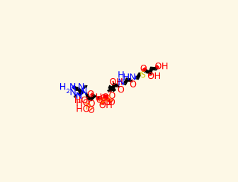 CC(C)(COP(=O)(O)OP(=O)(O)OC[C@H]1O[C@@H](n2cnc3c(N)ncnc32)[C@H](O)[C@@H]1OP(=O)(O)O)[C@@H](O)C(=O)NCCC(=O)NCCSC(=O)C(O)CCO